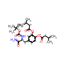 CC(C)CC(=O)Oc1ccc(C[C@H](NC(=O)OC(C)(C)C)C(N)=O)cc1OC(=O)CC(C)C